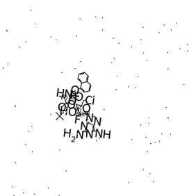 CNc1nc(N)nc2c1ncn2[C@@H]1OC2(CCl)C(O[P@@](=O)(N[C@H](C)C(=O)OCC(C)(C)C)Oc3cccc4ccccc34)[C@]2(O)[C@H]1F